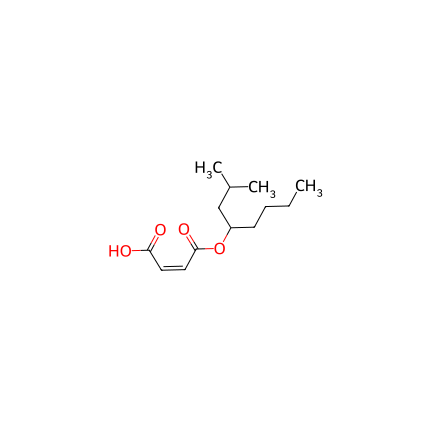 CCCCC(CC(C)C)OC(=O)/C=C\C(=O)O